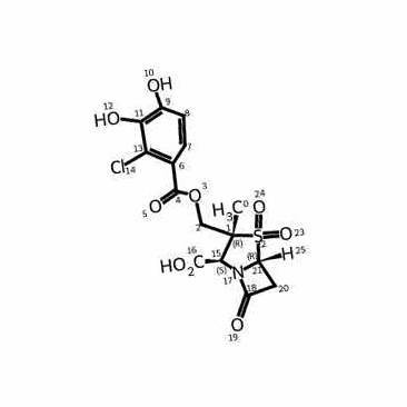 C[C@]1(COC(=O)c2ccc(O)c(O)c2Cl)[C@H](C(=O)O)N2C(=O)C[C@H]2S1(=O)=O